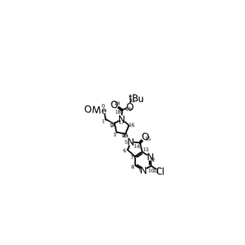 COC[C@@H]1C[C@@H](N2Cc3cnc(Cl)nc3C2=O)CN1C(=O)OC(C)(C)C